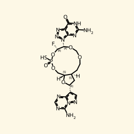 Nc1nc2c(nnn2[C@@H]2OCOCC[C@H]3C[C@H](c4cnn5c(N)ncnc45)O[C@@H]3COP(=O)(S)O[C@@H]2F)c(=O)[nH]1